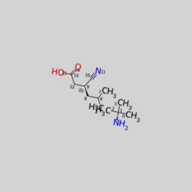 CC(C)(C)N.CC(C)C[C@H](C#N)CC(=O)O